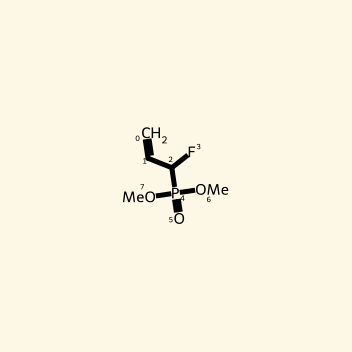 C=CC(F)P(=O)(OC)OC